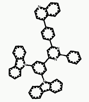 c1ccc(-c2nc(-c3ccc(-c4ccnc5ccccc45)cc3)cc(-c3cc(-n4c5ccccc5c5ccccc54)cc(-n4c5ccccc5c5ccccc54)c3)n2)cc1